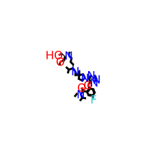 CCN(C(=O)c1cc(F)ccc1Oc1nncnc1N1CCC2(C1)CN([C@H](CCCN(C)[C@H](CO)COC)C(C)C)C2)C(C)C